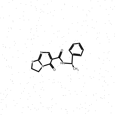 C[C@@H](NC(=O)c1cnc2n(c1=O)CCS2)c1ccccc1